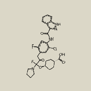 O=C(Nc1cc(F)c(CC(=O)C(F)(O[C@H]2CC[C@H](C(=O)O)CC2)N2CCCC2)cc1Cl)c1n[nH]c2ccccc12